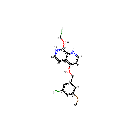 CSc1cc(F)cc(COc2ccnc3c(OCF)nccc23)c1